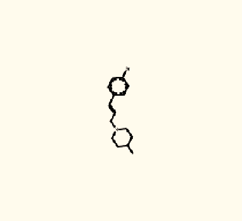 CC1CCN(CC=Cc2ccc(Br)cc2)CC1